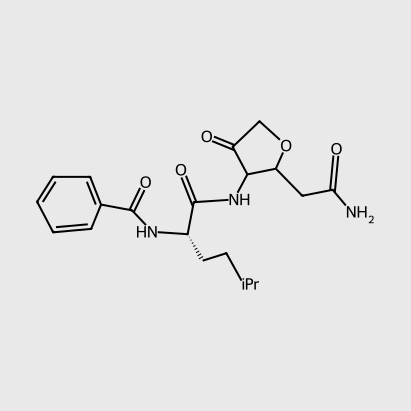 CC(C)CC[C@H](NC(=O)c1ccccc1)C(=O)NC1C(=O)COC1CC(N)=O